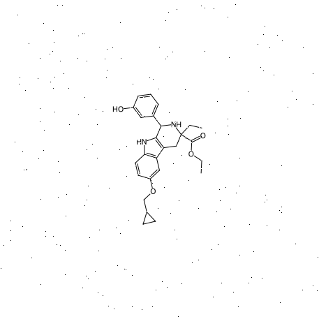 CCOC(=O)C1(CC)Cc2c([nH]c3ccc(OCC4CC4)cc23)C(c2cccc(O)c2)N1